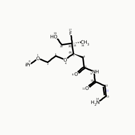 CC(C)OCCO[C@H](CC(=O)NC(=O)/C=C\N)[C@](C)(F)CO